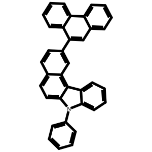 c1ccc(-n2c3ccccc3c3c4cc(-c5cc6ccccc6c6ccccc56)ccc4ccc32)cc1